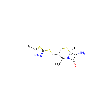 CC(C)c1nnc(SCC2=C(C(=O)O)N3C(=O)C(N)[C@@H]3SC2)s1